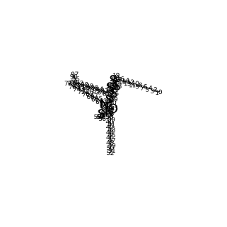 CCCCCCCCCCCCCCCCCc1c(C)sc2c1sc1c3sc(-c4ccc(C5C6C(=O)N(CCCCCCCCCCCCCCCC)C(c7ccc(C)s7)=C6CN5CCCCCCCCCCCCCCCC)s4)c(CCCCCCCCCCCCCCCCC)c3sc21